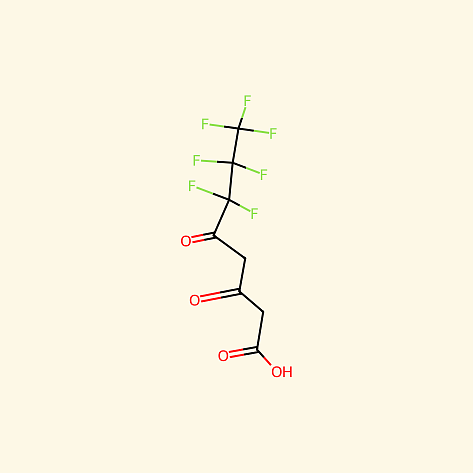 O=C(O)CC(=O)CC(=O)C(F)(F)C(F)(F)C(F)(F)F